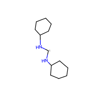 [C](NC1CCCCC1)NC1CCCCC1